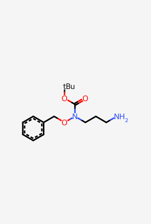 CC(C)(C)OC(=O)N(CCCN)OCc1ccccc1